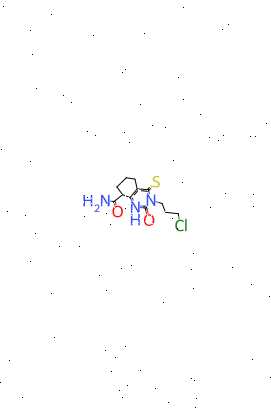 NC(=O)C1CCCc2c1[nH]c(=O)n(CCCCl)c2=S